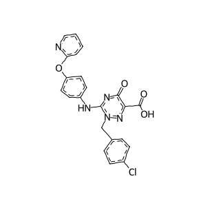 O=C(O)c1nn(Cc2ccc(Cl)cc2)c(Nc2ccc(Oc3ccccn3)cc2)nc1=O